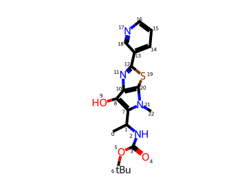 CC(NC(=O)OC(C)(C)C)c1c(O)c2nc(-c3cccnc3)sc2n1C